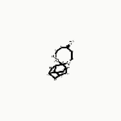 O=C1CCOOC2(OCC1)C1CC3CC(C1)CC2C3